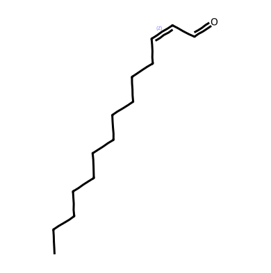 CCCCCCCCCCC/C=C\C=O